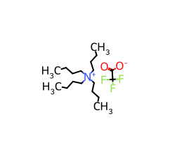 CCCC[N+](CCCC)(CCCC)CCCC.O=C([O-])C(F)(F)F